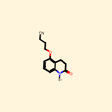 CCN1C(=O)CCc2c(OCCCC#N)cccc21